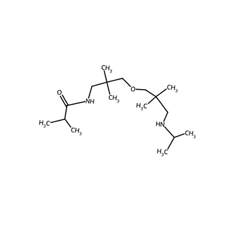 CC(C)NCC(C)(C)COCC(C)(C)CNC(=O)C(C)C